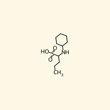 CCCC(NC1CCCCC1)S(=O)(=O)O